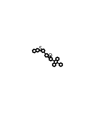 c1ccc(-c2c3ccccc3c(-c3ccc4c(c3)oc3cc(-c5ccc6sc7cc8ccccc8cc7c6c5)ccc34)c3ccccc23)cc1